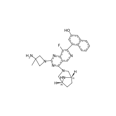 CC1(N)CN(c2nc(N3C[C@H]4CC[C@@H](C3)N4)c3cnc(-c4cc(O)cc5ccccc45)c(F)c3n2)C1